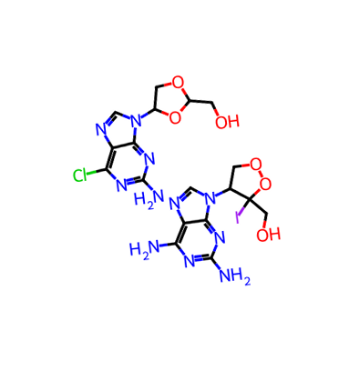 Nc1nc(Cl)c2ncn(C3COC(CO)O3)c2n1.Nc1nc(N)c2ncn(C3COOC3(I)CO)c2n1